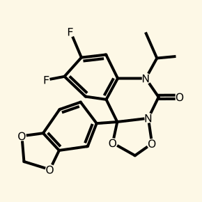 CC(C)N1C(=O)N2OCOC2(c2ccc3c(c2)OCO3)c2cc(F)c(F)cc21